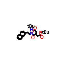 CC(C)(C)OC(=O)CC(CC(=O)OC(C)(C)C)C(=O)NCCc1ccc2ccccc2c1